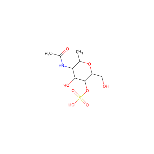 CC(=O)NC1C(C)OC(CO)C(OS(=O)(=O)O)C1O